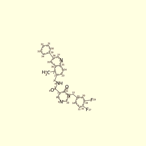 Cc1c(CNC(=O)c2cncn(Cc3ccc(F)c(F)c3)c2=O)ccc2ncc(-c3ccccc3)cc12